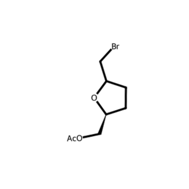 CC(=O)OC[C@@H]1CCC(CBr)O1